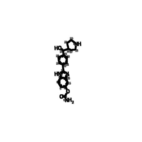 NC(=O)Oc1ccc2[nH]c(-c3ccc(C(O)C4CCNCC4)cc3)nc2c1